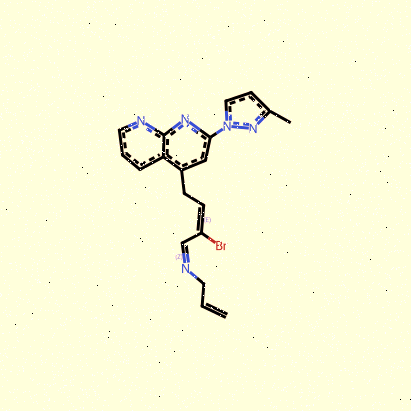 C=CC/N=C\C(Br)=C/Cc1cc(-n2ccc(C)n2)nc2ncccc12